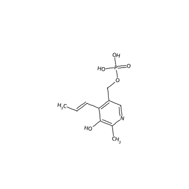 CC=Cc1c(COP(=O)(O)O)cnc(C)c1O